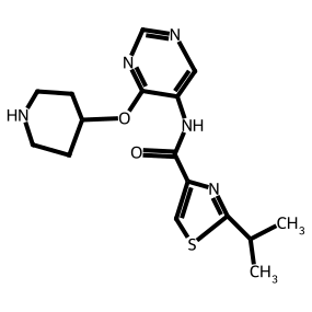 CC(C)c1nc(C(=O)Nc2cncnc2OC2CCNCC2)cs1